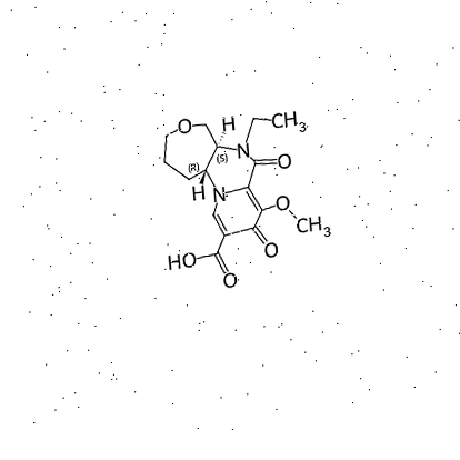 CCN1C(=O)c2c(OC)c(=O)c(C(=O)O)cn2[C@@H]2CCCOC[C@H]21